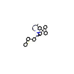 C=C1/C=C\C=C/CN(c2nccc(-c3cccc(-c4cccc5c4sc4ccccc45)c3)n2)c2cc(C3(c4ccccc4)c4ccccc4-c4ccccc43)ccc21